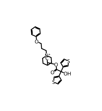 O=C(OC1C[N+]2(CCCOc3ccccc3)CCC1CC2)C(O)(c1ccsc1)c1ccsc1